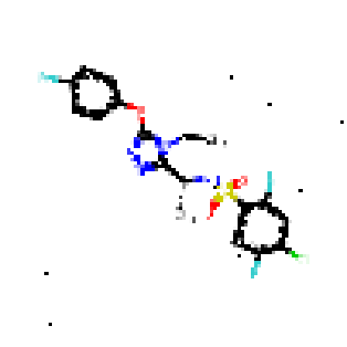 CCn1c(Oc2ccc(F)cc2)nnc1[C@@H](C)NS(=O)(=O)c1cc(F)c(Cl)cc1F